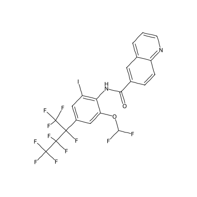 O=C(Nc1c(I)cc(C(F)(C(F)(F)F)C(F)(F)C(F)(F)F)cc1OC(F)F)c1ccc2ncccc2c1